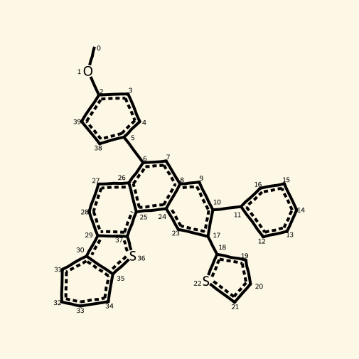 COc1ccc(-c2cc3cc(-c4ccccc4)c(-c4cccs4)cc3c3c2ccc2c4ccccc4sc23)cc1